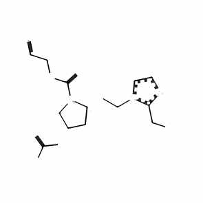 C=CCOC(=O)N1C[C@@H](SC(C)=O)C[C@H]1CCn1ccnc1CO